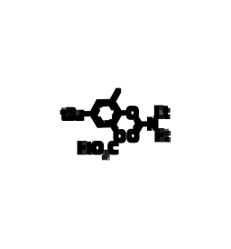 CCOC(=O)Oc1cc(C(C)(C)C)cc(C)c1OC(=O)N(CC)CC